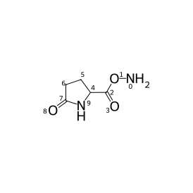 NOC(=O)C1CCC(=O)N1